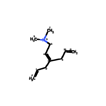 C=CCC(=CCN(C)C)CC=C